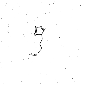 CCCCCCCCC1N=NN=N1